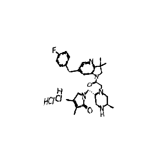 CC1=C(C)C(=O)N(C[C@H]2CN[C@H](C)CN2CC(=O)N2CC(C)(C)c3ncc(Cc4ccc(F)cc4)cc32)C1.Cl.Cl